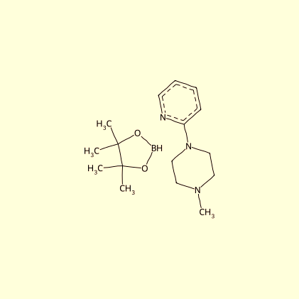 CC1(C)OBOC1(C)C.CN1CCN(c2ccccn2)CC1